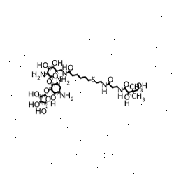 CC(C)(CO)[C@@H](O)C(=O)NCCC(=O)NCCSCCCCCC(=O)NC[C@H]1O[C@H](O[C@H]2[C@H](O[C@@H]3O[C@H](CO)[C@@H](O)[C@H]3O)[C@@H](O)[C@H](N)C[C@@H]2N)[C@H](N)[C@@H](O)[C@@H]1O